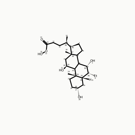 CC[C@H]1[C@@H](O)C2C3CC[C@H]([C@H](C)CCC(=O)OO)[C@@]3(C)C[C@H](O)C2[C@@]2(C)CC[C@@H](O)C[C@@H]12